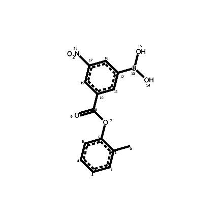 Cc1ccccc1OC(=O)c1cc(B(O)O)cc([N+](=O)[O-])c1